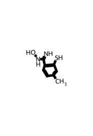 Cc1ccc(C(=N)NO)c(S)c1